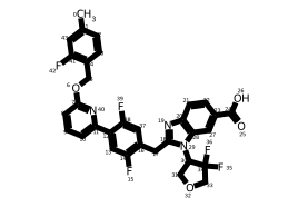 Cc1ccc(COc2cccc(-c3cc(F)c(Cc4nc5ccc(C(=O)O)cc5n4C4COCC4(F)F)cc3F)n2)c(F)c1